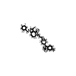 Cc1cn(Cc2ccccc2)c2c1C(=O)N(CCCN1CCC(c3noc4cc(F)ccc34)CC1)CC=C2